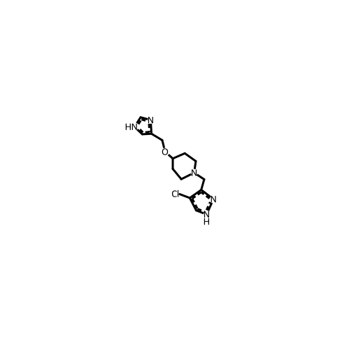 Clc1c[nH]nc1CN1CCC(OCc2c[nH]cn2)CC1